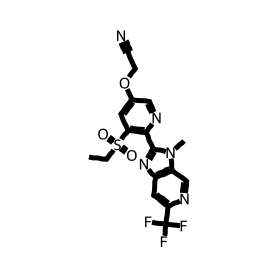 CCS(=O)(=O)c1cc(OCC#N)cnc1-c1nc2cc(C(F)(F)F)ncc2n1C